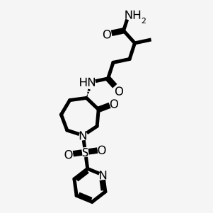 C[C](CCC(=O)N[C@H]1CCCN(S(=O)(=O)c2ccccn2)CC1=O)C(N)=O